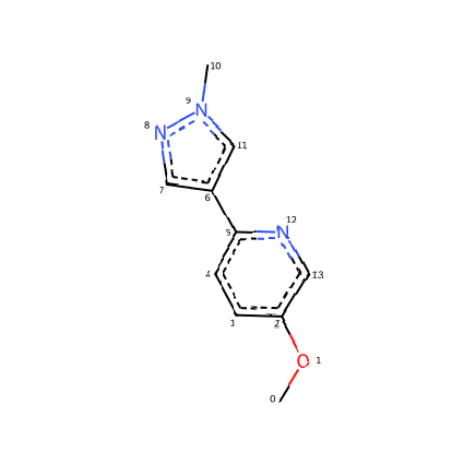 COc1ccc(-c2cnn(C)c2)nc1